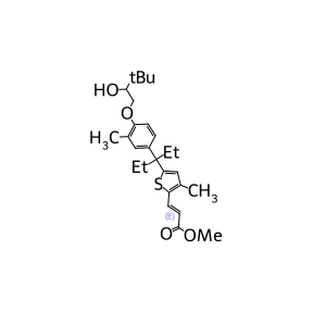 CCC(CC)(c1ccc(OCC(O)C(C)(C)C)c(C)c1)c1cc(C)c(/C=C/C(=O)OC)s1